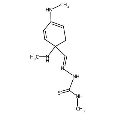 CNC(=S)NN=CC1(NC)C=CC(NC)=CC1